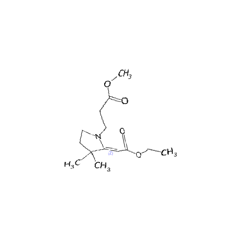 CCOC(=O)/C=C1\N(CCC(=O)OC)CCC1(C)C